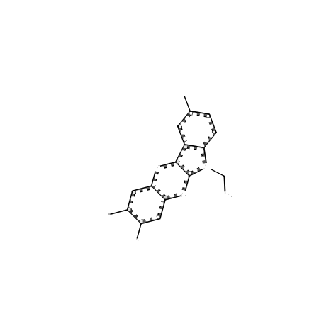 N#CCn1c2ccc(Cl)cc2c2nc3cc(Cl)c(Cl)cc3nc21